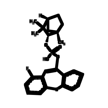 CC1(C)[C@@H]2CC[C@@](C)(C2)[C@@H]1OP(=O)(O)OC1=Cc2c(F)cccc2Sc2ccccc21